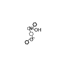 CC(OCc1ccccc1)C1CCC(C2CCCN2C(CO)c2ccccc2)CC1